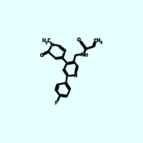 C=CC(=O)NCc1cnc(-c2ccc(F)cc2)cc1-c1ccn(C)c(=O)c1